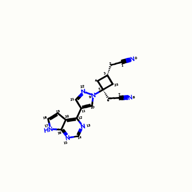 N#CC[C@H]1C[C@](CC#N)(n2cc(-c3ncnc4[nH]ccc34)cn2)C1